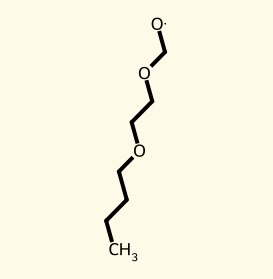 CCCCOCCOC[O]